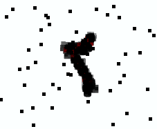 [2H]C([2H])([2H])Oc1ncc(-c2ccnc(N3CCn4c(cc5c4CC(C)(C)C5)C3=O)c2[C@H](C)O)cc1Nc1ccc(N2CCN(C3CCN(c4ccc5c(c4)CN([C@H]4CCC(=O)NC4=O)C5=O)CC3)C[C@@H]2C)cn1